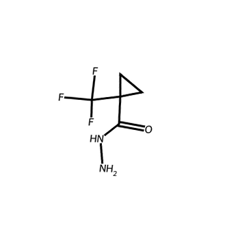 NNC(=O)C1(C(F)(F)F)CC1